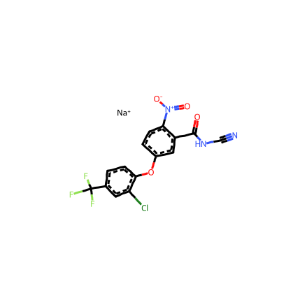 N#CNC(=O)c1cc(Oc2ccc(C(F)(F)F)cc2Cl)ccc1[N+](=O)[O-].[Na+]